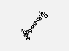 CC[C@@H]([C@H](C)OCc1ccccc1)n1ncn(-c2ncc(N3CCN(c4ccc(-c5ccc(C(F)(F)C(O)(Cn6cnnn6)c6ccc(F)cc6F)nc5)cc4)CC3)cc2F)c1=O